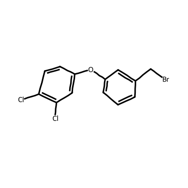 Clc1ccc(Oc2cccc(CBr)c2)cc1Cl